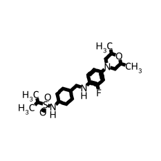 CC1CN(c2ccc(NCC3CCC(NS(=O)(=O)C(C)C)CC3)c(F)c2)CC(C)O1